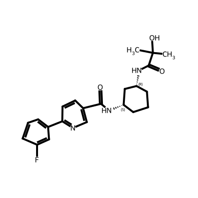 CC(C)(O)C(=O)N[C@@H]1CCC[C@H](NC(=O)c2ccc(-c3cccc(F)c3)nc2)C1